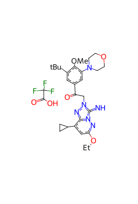 CCOc1cc(C2CC2)c2nn(CC(=O)c3cc(N4CCOCC4)c(OC)c(C(C)(C)C)c3)c(=N)n2n1.O=C(O)C(F)(F)F